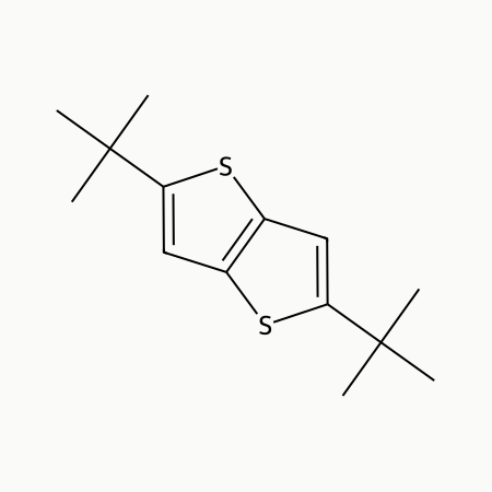 CC(C)(C)c1cc2sc(C(C)(C)C)cc2s1